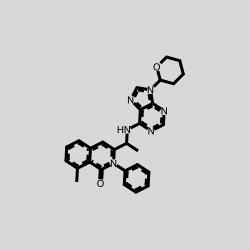 Cc1cccc2cc(C(C)Nc3ncnc4c3ncn4C3CCCCO3)n(-c3ccccc3)c(=O)c12